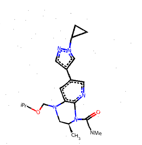 CNC(=O)N1c2ncc(-c3cnn(C4CC4)c3)cc2N(COC(C)C)C[C@@H]1C